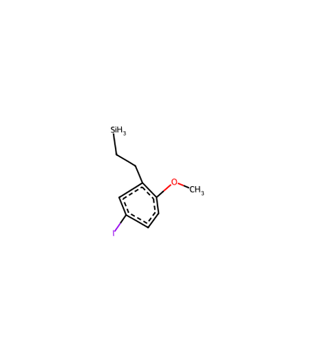 COc1ccc(I)cc1CC[SiH3]